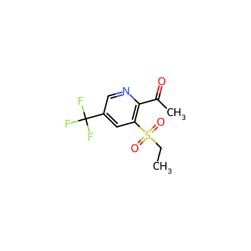 CCS(=O)(=O)c1cc(C(F)(F)F)cnc1C(C)=O